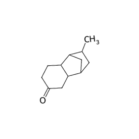 CC1CC2CC1C1CCC(=O)CC21